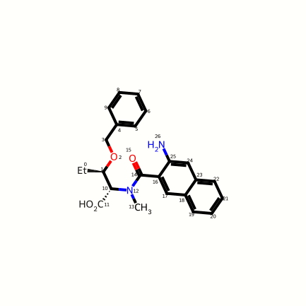 CC[C@@H](OCc1ccccc1)[C@@H](C(=O)O)N(C)C(=O)c1cc2ccccc2cc1N